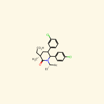 CC[C@@H](C(C)=O)N1C(=O)[C@@](C)(CC(=O)O)CC(c2cccc(Cl)c2)C1c1ccc(Cl)cc1